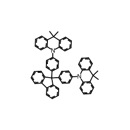 CC1(C)c2ccccc2N(c2ccc(C3(c4ccc(N5c6ccccc6C(C)(C)c6ccccc65)cc4)c4ccccc4-c4ccccc43)cc2)c2ccccc21